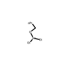 CCCCO[N+](CC)CC